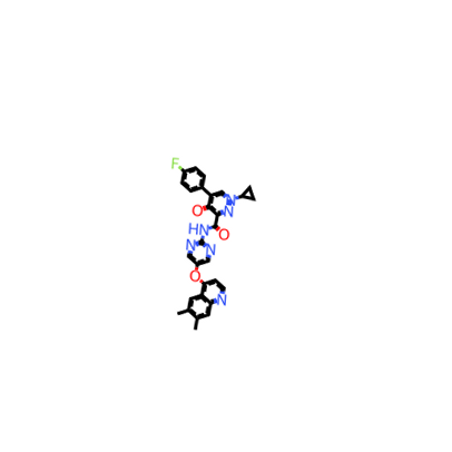 Cc1cc2nccc(Oc3cnc(NC(=O)c4nn(C5CC5)cc(-c5ccc(F)cc5)c4=O)nc3)c2cc1C